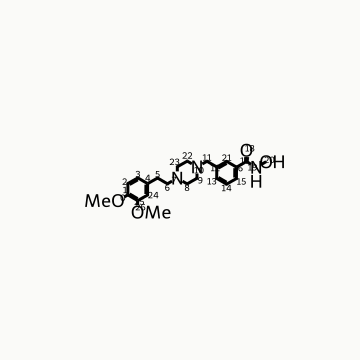 COc1ccc(CCN2CCN(Cc3cccc(C(=O)NO)c3)CC2)cc1OC